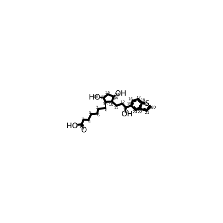 O=C(O)CCCCCC[C@@H]1C(CCC(O)c2ccc3sccc3c2)[C@H](O)C[C@@H]1O